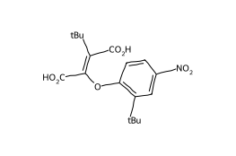 CC(C)(C)C(C(=O)O)=C(Oc1ccc([N+](=O)[O-])cc1C(C)(C)C)C(=O)O